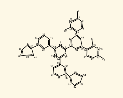 Cc1ccc(-c2cc(-c3nc(-c4cccc(-c5ccccc5)c4)nc(-c4cccc(-c5ccccc5)c4)n3)cc(-c3ccc(C)nc3C)c2)c(C)n1